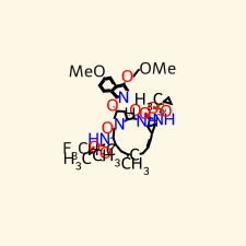 COCCOc1cnc(O[C@@H]2C[C@H]3C(=O)N[C@]4(C(=O)NS(=O)(=O)C5(C)CC5)CC4/C=C\CC[C@@H](C)C[C@@H](C)[C@H](NC(=O)OC(C)(C)C(F)(F)F)C(=O)N3C2)c2ccc(OC)cc12